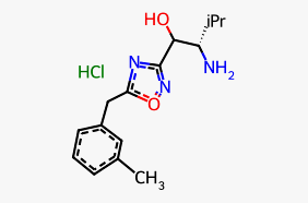 Cc1cccc(Cc2nc(C(O)[C@@H](N)C(C)C)no2)c1.Cl